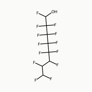 OC(F)C(F)(F)C(F)(F)C(F)(F)C(F)(F)C(F)C(F)C(F)F